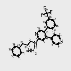 N[C@@H](CNc1cc(-c2ccncc2)c(-c2cccc(C(F)(F)F)c2)cn1)Cc1ccccc1